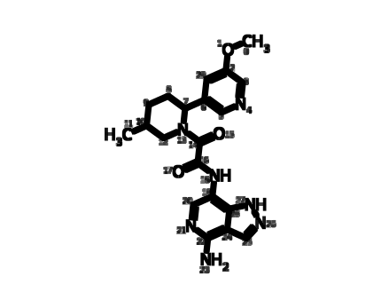 COc1cncc(C2CCC(C)CN2C(=O)C(=O)Nc2cnc(N)c3cn[nH]c23)c1